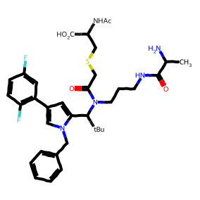 CC(=O)NC(CSCC(=O)N(CCCNC(=O)C(C)N)C(c1cc(-c2cc(F)ccc2F)cn1Cc1ccccc1)C(C)(C)C)C(=O)O